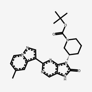 Cc1ccn2ncc(-c3ncc4[nH]c(=O)n([C@H]5CCCN(C(=O)OC(C)(C)C)C5)c4n3)c2c1